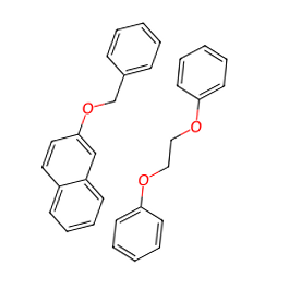 c1ccc(COc2ccc3ccccc3c2)cc1.c1ccc(OCCOc2ccccc2)cc1